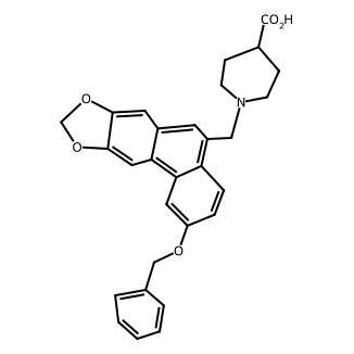 O=C(O)C1CCN(Cc2cc3cc4c(cc3c3cc(OCc5ccccc5)ccc23)OCO4)CC1